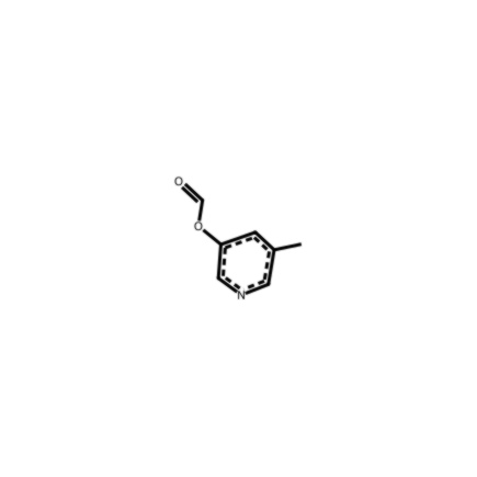 Cc1cncc(OC=O)c1